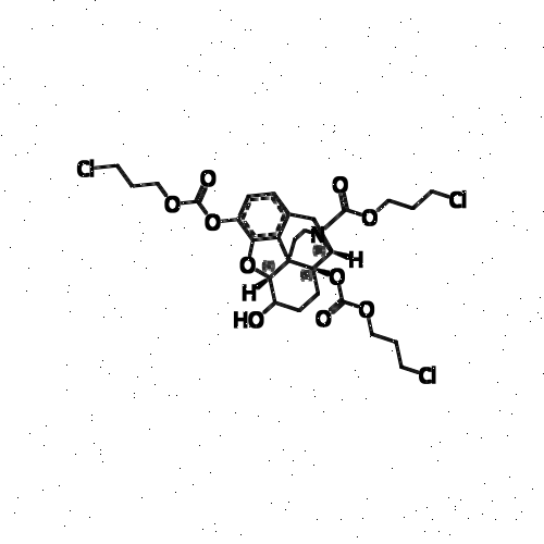 O=C(OCCCCl)Oc1ccc2c3c1O[C@H]1C(O)CC[C@@]4(OC(=O)OCCCCl)[C@@H](C2)N(C(=O)OCCCCl)CCC314